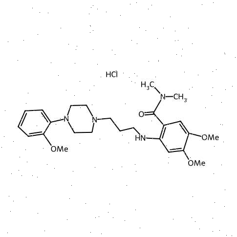 COc1cc(NCCCN2CCN(c3ccccc3OC)CC2)c(C(=O)N(C)C)cc1OC.Cl